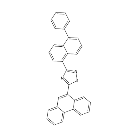 c1ccc(-c2cccc3c(-c4nsc(-c5cc6ccccc6c6ccccc56)n4)cccc23)cc1